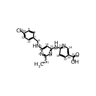 CSc1nc(NCc2ccc(Cl)cc2)cc(Nc2ccc(C(=O)O)cn2)n1